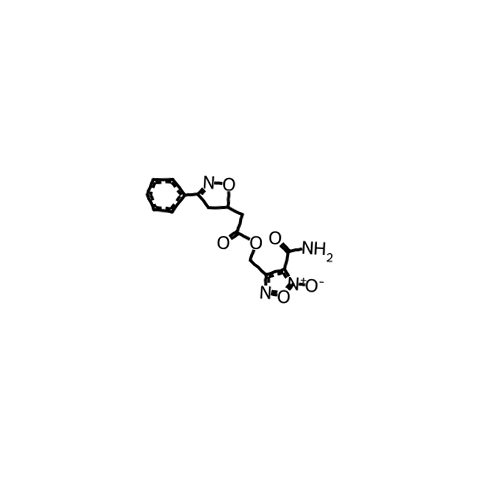 NC(=O)c1c(COC(=O)CC2CC(c3ccccc3)=NO2)no[n+]1[O-]